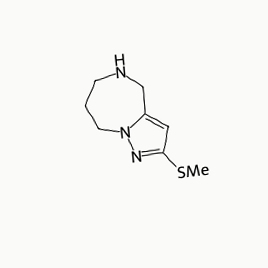 CSc1cc2n(n1)CCCNC2